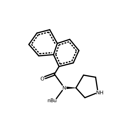 CCCCN(C(=O)c1cccc2ccccc12)[C@H]1CCNC1